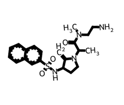 C=C1C(NS(=O)(=O)c2ccc3ccccc3c2)CCN1C(C)C(=O)N(C)CCN